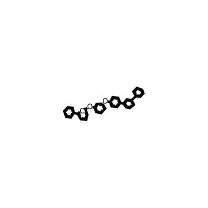 c1ccc(-c2cccc(Oc3cccc(Oc4ccc(-c5cccc(-c6ccccc6)c5)cc4)c3)c2)cc1